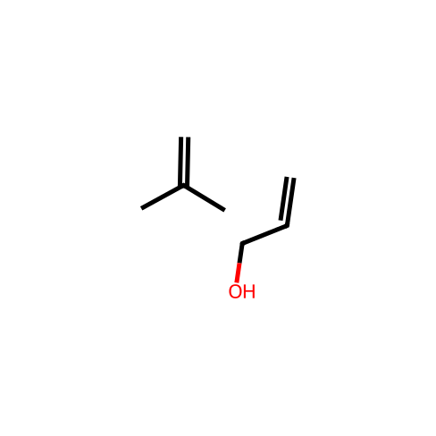 C=C(C)C.C=CCO